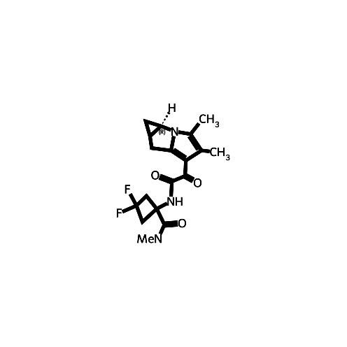 CNC(=O)C1(NC(=O)C(=O)c2c(C)c(C)n3c2CC2C[C@H]23)CC(F)(F)C1